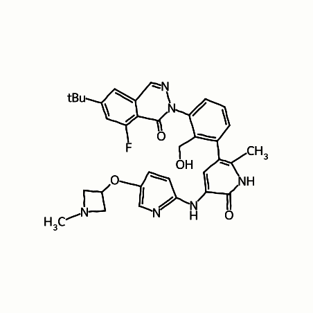 Cc1[nH]c(=O)c(Nc2ccc(OC3CN(C)C3)cn2)cc1-c1cccc(-n2ncc3cc(C(C)(C)C)cc(F)c3c2=O)c1CO